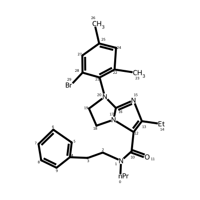 CCCN(CCc1ccccc1)C(=O)c1c(CC)nc2n1CCN2c1c(C)cc(C)cc1Br